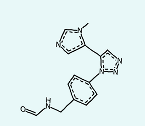 Cn1cncc1-c1cnnn1-c1ccc(CNC=O)cc1